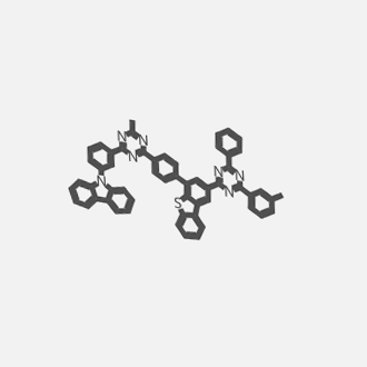 Cc1cccc(-c2nc(-c3ccccc3)nc(-c3cc(-c4ccc(-c5nc(C)nc(-c6cccc(-n7c8ccccc8c8ccccc87)c6)n5)cc4)c4sc5ccccc5c4c3)n2)c1